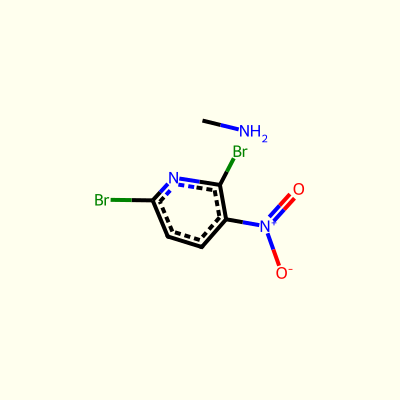 CN.O=[N+]([O-])c1ccc(Br)nc1Br